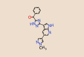 Cn1cc(-c2cnc3[nH]cc(-c4n[nH]c(C(=O)c5ccccc5)n4)c3c2)cn1